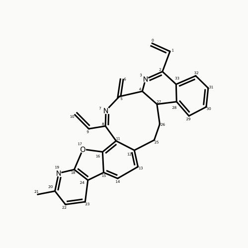 C=CC1=NC2C(=C)/N=C(/C=C)c3c(ccc4c3oc3nc(C)ccc34)CCC2c2ccccc21